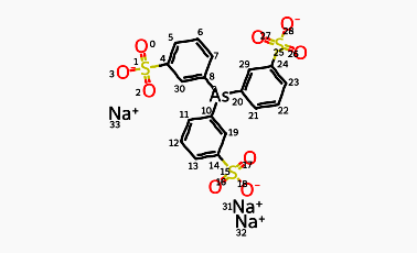 O=S(=O)([O-])c1cccc([As](c2cccc(S(=O)(=O)[O-])c2)c2cccc(S(=O)(=O)[O-])c2)c1.[Na+].[Na+].[Na+]